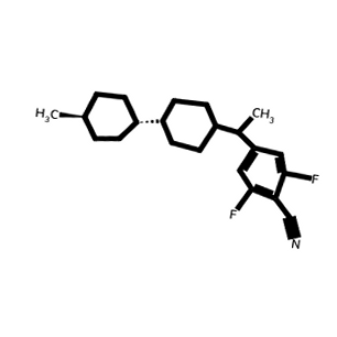 CC(c1cc(F)c(C#N)c(F)c1)C1CCC([C@H]2CC[C@H](C)CC2)CC1